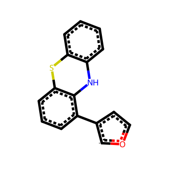 [c]1occc1-c1cccc2c1Nc1ccccc1S2